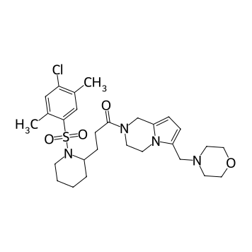 Cc1cc(S(=O)(=O)N2CCCCC2CCC(=O)N2CCn3c(CN4CCOCC4)ccc3C2)c(C)cc1Cl